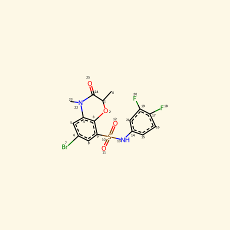 CC1Oc2c(cc(Br)cc2S(=O)(=O)Nc2ccc(F)c(F)c2)N(C)C1=O